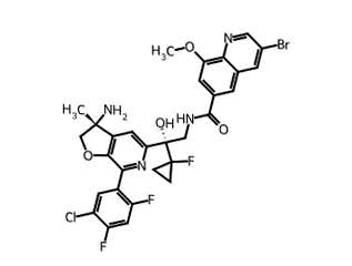 COc1cc(C(=O)NC[C@](O)(c2cc3c(c(-c4cc(Cl)c(F)cc4F)n2)OC[C@]3(C)N)C2(F)CC2)cc2cc(Br)cnc12